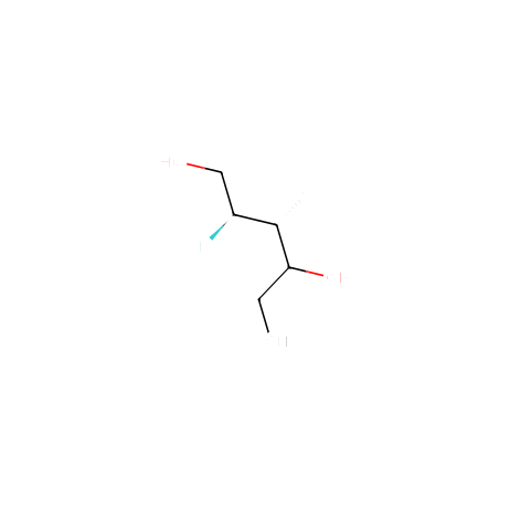 CCC(O)[C@@H](C)[C@@H](F)CO